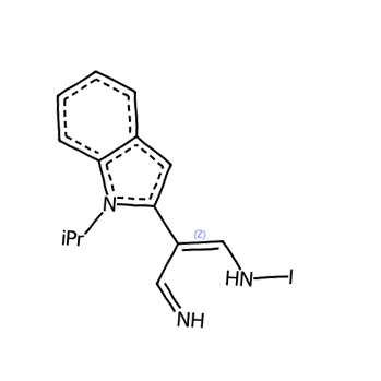 CC(C)n1c(/C(C=N)=C/NI)cc2ccccc21